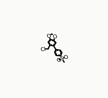 CS(=O)(=O)c1ccc(-c2cc3c(cc2CCl)OCO3)cc1